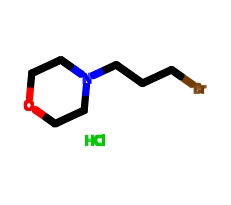 BrCCCN1CCOCC1.Cl